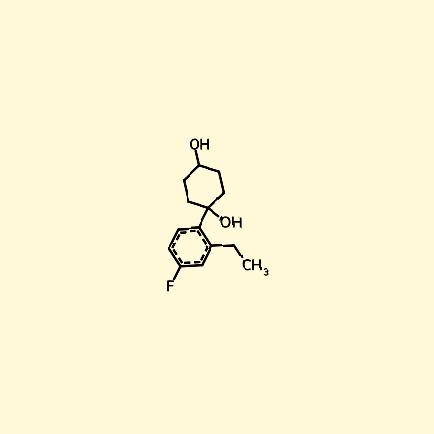 CCc1cc(F)ccc1C1(O)CCC(O)CC1